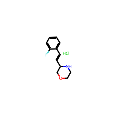 Cl.Fc1ccccc1C=CC1COCCN1